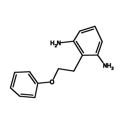 Nc1cccc(N)c1CCOc1ccccc1